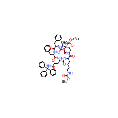 COC(=O)C1(NC(=O)OC(C)(C)C)CCN(C(=O)[C@@H](CCCCNC(=O)OC(C)(C)C)NC(=O)[C@@H](CCC(=O)NC(c2ccccc2)(c2ccccc2)c2ccccc2)NC(=O)[C@@H](Cc2ccccc2)NC(=O)[C@@H](Cc2ccccc2)NC(=O)OC(C)(C)C)CC1